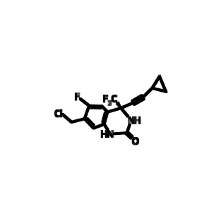 O=C1Nc2cc(CCl)c(F)cc2[C@@](C#CC2CC2)(C(F)(F)F)N1